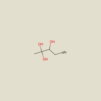 CCCCC(O)C(C)(O)O